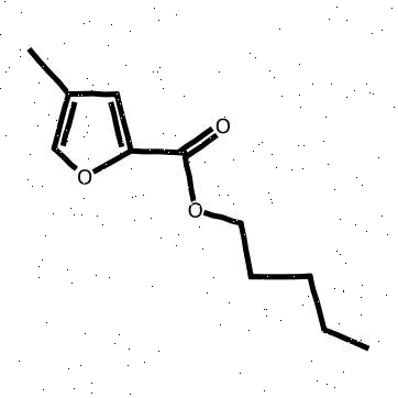 CCCCCOC(=O)c1cc(C)co1